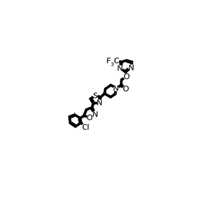 O=C(COc1nccc(C(F)(F)F)n1)N1CCC(c2nc(C3=NOC(c4[c]cccc4Cl)C3)cs2)CC1